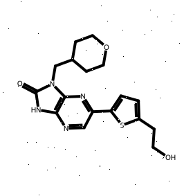 O=c1[nH]c2ncc(-c3ccc(CCO)s3)nc2n1CC1CCOCC1